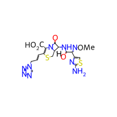 CON=C(C(=O)N[C@@H]1C(=O)N2C(C(=O)O)=C(C=CCn3cnnn3)SC[C@H]12)c1csc(N)n1